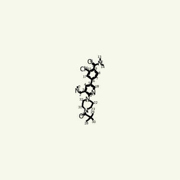 C/N=C\c1cc(-c2ccc(C(=O)N(C)C)c(Cl)c2)cnc1N1CCN(C(=O)C(C)(C)C)CC1